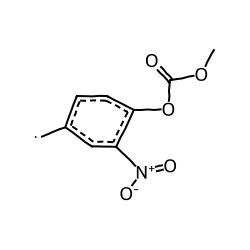 [CH2]c1ccc(OC(=O)OC)c([N+](=O)[O-])c1